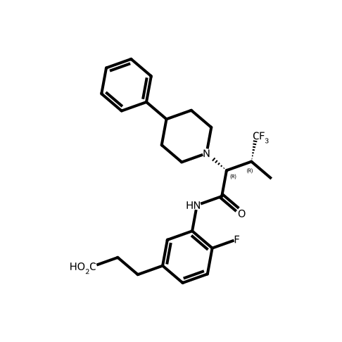 C[C@H]([C@H](C(=O)Nc1cc(CCC(=O)O)ccc1F)N1CCC(c2ccccc2)CC1)C(F)(F)F